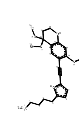 CCOC(=O)CCCCc1ccc(C#Cc2cc3c(cc2SCC)OCCC3(SCC)SCC)o1